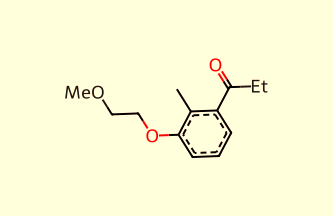 CCC(=O)c1cccc(OCCOC)c1C